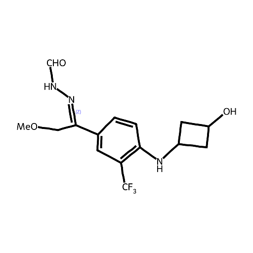 COC/C(=N\NC=O)c1ccc(NC2CC(O)C2)c(C(F)(F)F)c1